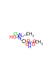 CCCCc1nc(Cl)c(CO)n1Cc1ccc(S(=O)(=O)NCC(=O)OC)cc1